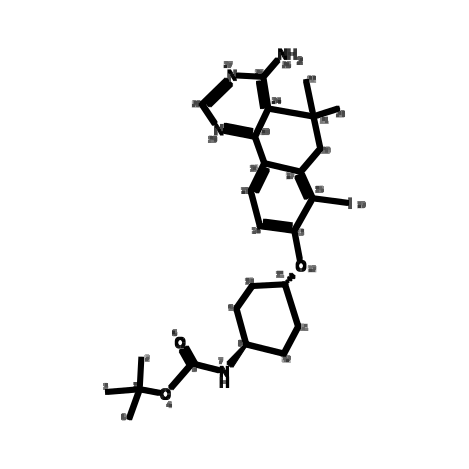 CC(C)(C)OC(=O)N[C@H]1CC[C@H](Oc2ccc3c(c2I)CC(C)(C)c2c(N)ncnc2-3)CC1